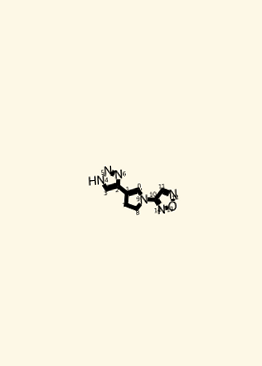 [C]1=C(c2c[nH]nn2)CCN1c1cnon1